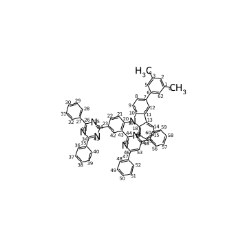 Cc1cc(C)cc(-c2ccc3c(c2)c2ccccc2n3-c2ccc(-c3nc(-c4ccccc4)nc(-c4ccccc4)n3)cc2-c2nc(-c3ccccc3)cc(-c3ccccc3)n2)c1